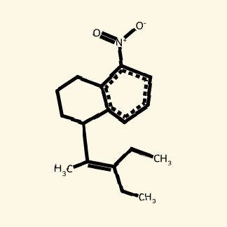 CCC(CC)=C(C)C1CCCc2c1cccc2[N+](=O)[O-]